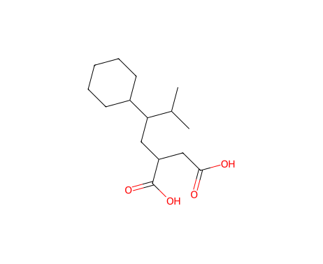 CC(C)C(CC(CC(=O)O)C(=O)O)C1CCCCC1